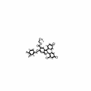 CCOC(=O)c1cc2c(-c3ccc(Cl)cc3)n(-c3ccc(Cl)cc3Cl)nc2nc1OCc1ccc(F)c(F)c1